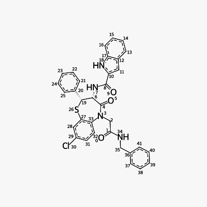 O=C(CN1C(=O)[C@@H](NC(=O)c2cc3ccccc3[nH]2)[C@@H](c2ccccc2)Sc2cc(Cl)ccc21)NCc1ccccc1